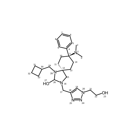 CN(C)[C@]1(c2ccccc2)CC[C@]2(CC1)CN(Cc1cn(CCO)nn1)C(O)N2CC1CCC1